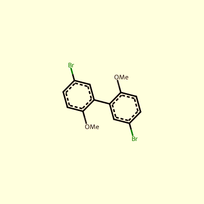 COc1ccc(Br)cc1-c1cc(Br)ccc1OC